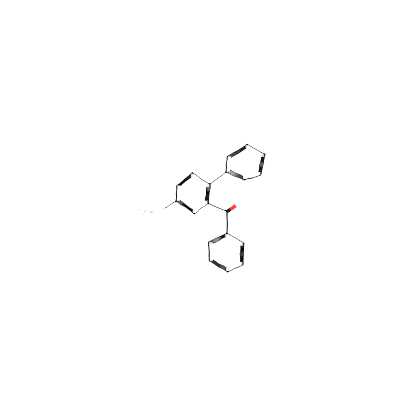 COc1ccc(-c2ccccc2)c(C(=O)c2ccccc2)c1